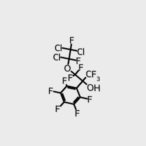 OC(c1c(F)c(F)c(F)c(F)c1F)(C(F)(F)F)C(F)(F)OC(F)(Cl)C(F)(Cl)Cl